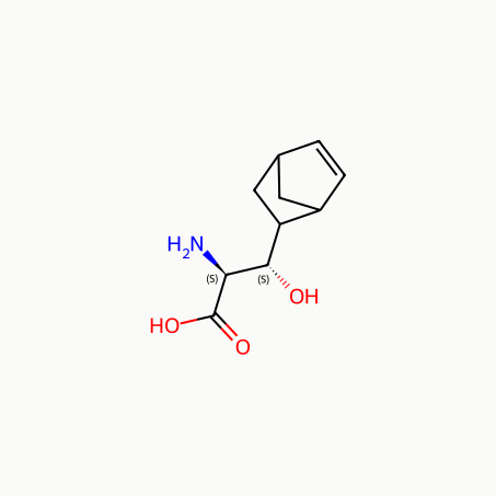 N[C@H](C(=O)O)[C@@H](O)C1CC2C=CC1C2